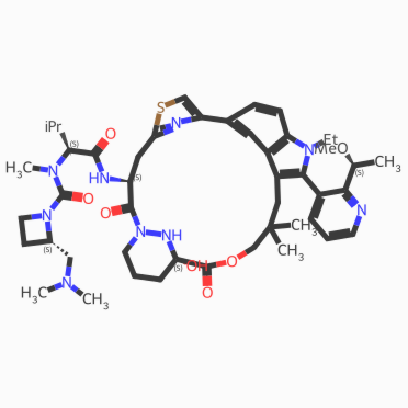 CCn1c(-c2cccnc2[C@H](C)OC)c2c3cc(ccc31)-c1csc(n1)C[C@H](NC(=O)[C@H](C(C)C)N(C)C(=O)N1CC[C@H]1CN(C)C)C(=O)N1CCC[C@@](O)(N1)C(=O)OCC(C)(C)C2